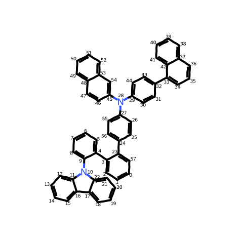 c1ccc(-c2ccccc2-n2c3ccccc3c3ccccc32)c(-c2ccc(N(c3ccc(-c4cccc5ccccc45)cc3)c3ccc4ccccc4c3)cc2)c1